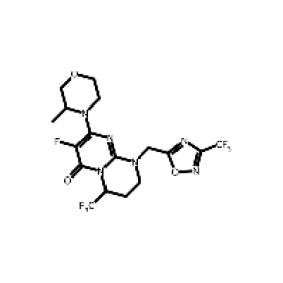 CC1COCCN1c1nc2n(c(=O)c1F)C(C(F)(F)F)CCN2Cc1nc(C(F)(F)F)no1